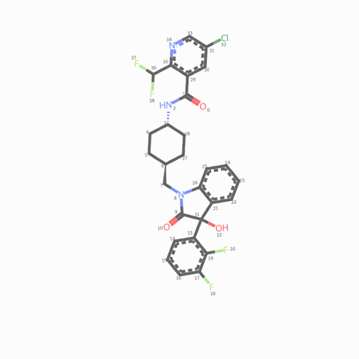 O=C(N[C@H]1CC[C@H](CN2C(=O)C(O)(c3cccc(F)c3F)c3ccccc32)CC1)c1cc(Cl)cnc1C(F)F